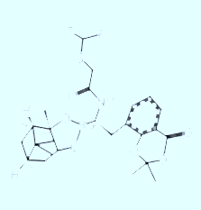 CC1(C)OC(=O)c2cccc(C[C@H](NC(=O)CSC(F)F)B3OC4C[C@@H]5C[C@@H](C5(C)C)[C@]4(C)O3)c2O1